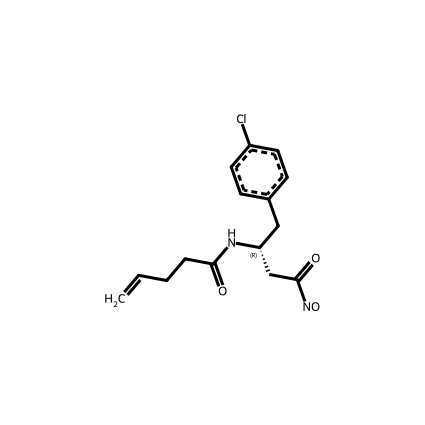 C=CCCC(=O)N[C@@H](CC(=O)N=O)Cc1ccc(Cl)cc1